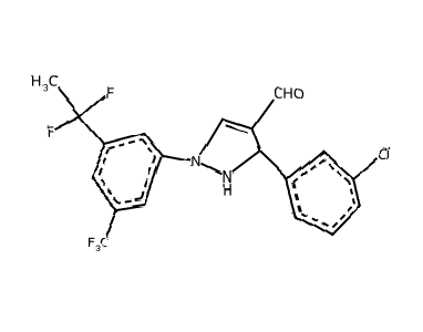 CC(F)(F)c1cc(N2C=C(C=O)C(c3cccc(Cl)c3)N2)cc(C(F)(F)F)c1